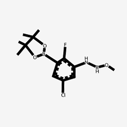 COBNc1cc(Cl)cc(B2OC(C)(C)C(C)(C)O2)c1F